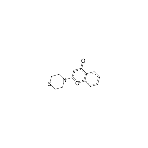 O=c1cc(N2CCSCC2)oc2ccccc12